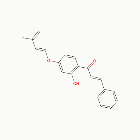 C=C(C)C=COc1ccc(C(=O)/C=C/c2ccccc2)c(O)c1